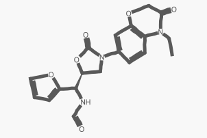 CCN1C(=O)COc2cc(N3C[C@@H](C(NC=O)c4ccco4)OC3=O)ccc21